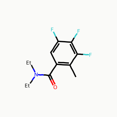 CCN(CC)C(=O)c1cc(F)c(F)c(F)c1C